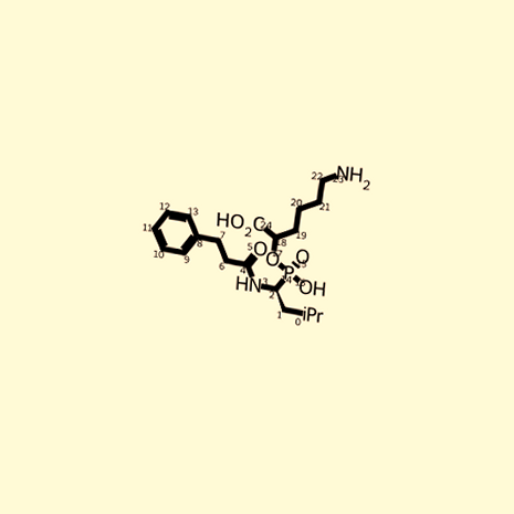 CC(C)C[C@@H](NC(=O)CCc1ccccc1)P(=O)(O)OC(CCCCN)C(=O)O